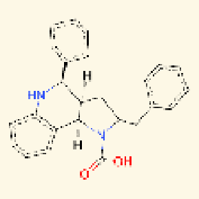 O=C(O)N1C(Cc2ccccc2)C[C@@H]2[C@H](c3ccccc3)Nc3ccccc3[C@@H]21